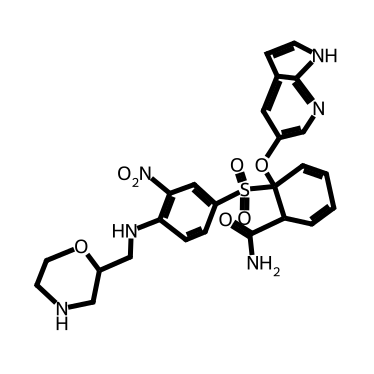 NC(=O)C1C=CC=CC1(Oc1cnc2[nH]ccc2c1)S(=O)(=O)c1ccc(NCC2CNCCO2)c([N+](=O)[O-])c1